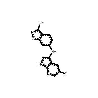 CCCc1noc2cc(Nc3n[nH]c4ncc(F)cc34)ccc12